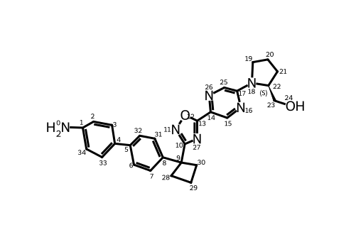 Nc1ccc(-c2ccc(C3(c4noc(-c5cnc(N6CCC[C@H]6CO)cn5)n4)CCC3)cc2)cc1